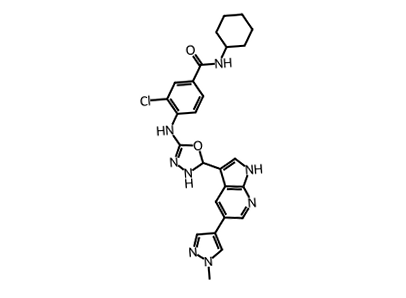 Cn1cc(-c2cnc3[nH]cc(C4NN=C(Nc5ccc(C(=O)NC6CCCCC6)cc5Cl)O4)c3c2)cn1